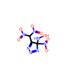 O=[N+]([O-])C(C1=NN=NC1(NO)[N+](=O)[O-])[N+](=O)[O-]